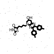 Cc1ccc(-c2nc3c(nc2-c2ccc(C)cc2)N(CCCCC2SC(=O)NC2=O)CC(O)C3)cc1